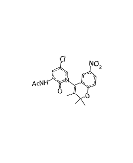 CC(=O)Nc1cc(Cl)cn(C2=C(C)C(C)(C)Oc3ccc([N+](=O)[O-])cc32)c1=O